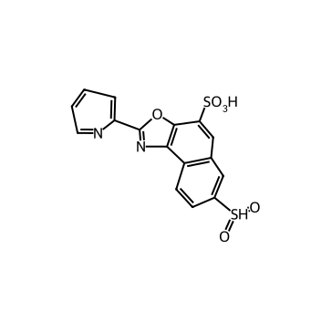 O=[SH](=O)c1ccc2c(c1)cc(S(=O)(=O)O)c1oc(-c3ccccn3)nc12